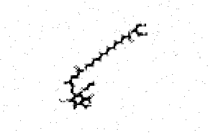 C=CCOc1c(C/C=C(\C)CCC(=O)OCCCCCCCCCCCC(=O)OC(CO)CO)c(OC)c(C)c2c1C(=O)OC2